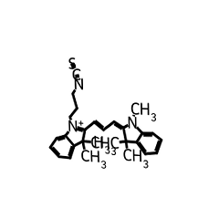 CN1/C(=C/C=C/C2=[N+](CCCN=C=S)c3ccccc3C2(C)C)C(C)(C)c2ccccc21